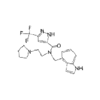 O=C(c1cc(C(F)(F)F)n[nH]1)N(CCN1CCCC1)Cc1cccc2[nH]ccc12